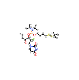 [2H]CC1OC(n2ccc(=O)[nH]c2=O)C(F)C1OP(OCCCCSSC(C)(C)C)N(C(C)C)C(C)C